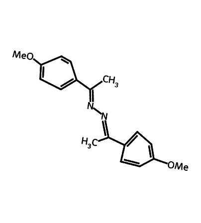 COc1ccc(/C(C)=N/N=C(\C)c2ccc(OC)cc2)cc1